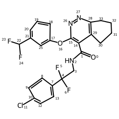 O=C(NCC(F)(F)c1ccc(Cl)cc1)c1c(Oc2cccc(C(F)F)c2)nnc2c1CCCC2